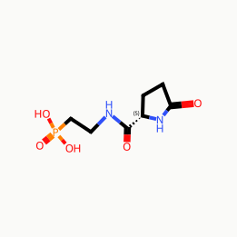 O=C1CC[C@@H](C(=O)NCCP(=O)(O)O)N1